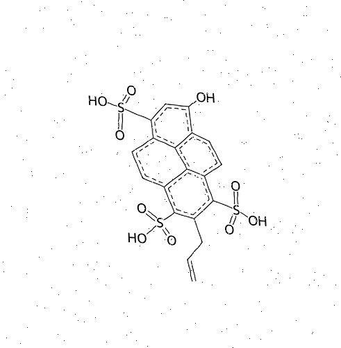 C=CCc1c(S(=O)(=O)O)c2ccc3c(O)cc(S(=O)(=O)O)c4ccc(c1S(=O)(=O)O)c2c34